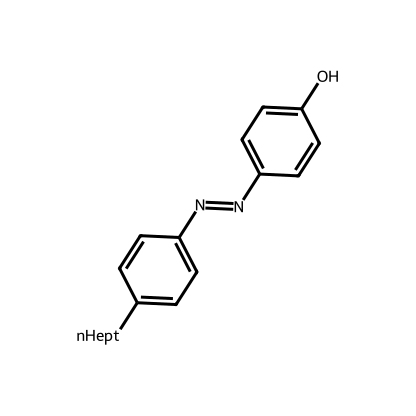 CCCCCCCc1ccc(N=Nc2ccc(O)cc2)cc1